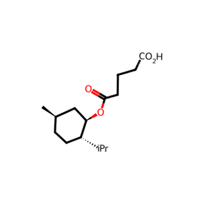 CC(C)[C@@H]1CC[C@@H](C)C[C@H]1OC(=O)CCCC(=O)O